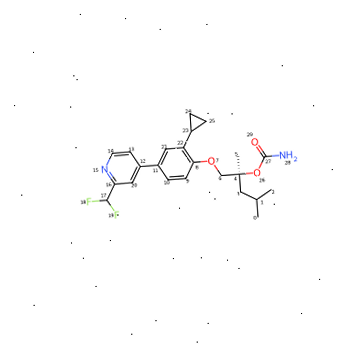 CC(C)C[C@@](C)(COc1ccc(-c2ccnc(C(F)F)c2)cc1C1CC1)OC(N)=O